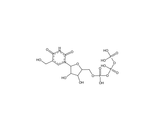 O=c1[nH]c(=O)n(C2OC(COP(=O)(O)OP(=O)(O)OP(=O)(O)O)C(O)C2O)cc1CO